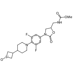 COC(=O)NCC1CN(c2cc(F)c(N3CCC(C4C[S+]([O-])C4)CC3)c(F)c2)C(=O)O1